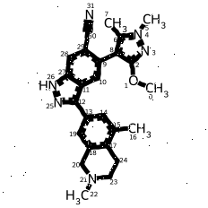 COc1nn(C)c(C)c1-c1cc2c(-c3cc(C)c4c(c3)CN(C)CC4)n[nH]c2cc1C#N